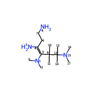 CN(C)C(=C(N)CCN)C(C)(C)C(C)(C)N(C)C